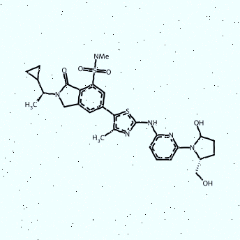 CNS(=O)(=O)c1cc(-c2sc(Nc3cccc(N4C(O)CC[C@@H]4CO)n3)nc2C)cc2c1C(=O)N([C@@H](C)C1CC1)C2